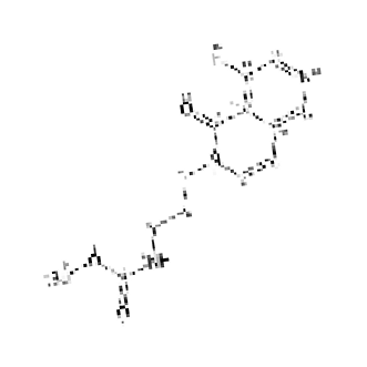 CC(C)(C)OC(=O)NCCCn1ccc2cncc(F)c2c1=O